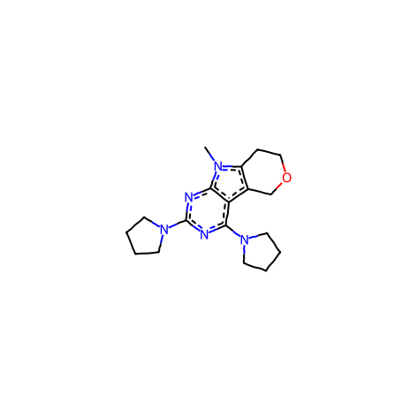 Cn1c2c(c3c(N4CCCC4)nc(N4CCCC4)nc31)COCC2